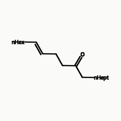 CCCCCCC=CCCC(=O)CCCCCCCC